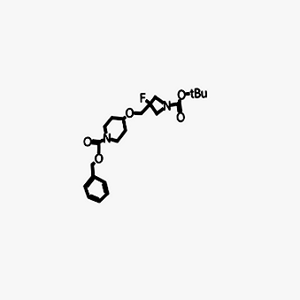 CC(C)(C)OC(=O)N1CC(F)(COC2CCN(C(=O)OCc3ccccc3)CC2)C1